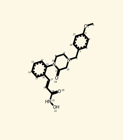 COc1ccc(CN2CCN(c3ccccc3C=CC(=O)NO)C(=O)C2)cc1